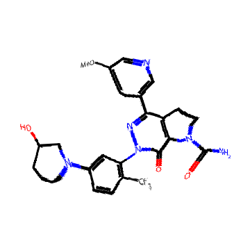 COc1cncc(-c2nn(-c3cc(N4CCC(O)C4)ccc3C(F)(F)F)c(=O)c3c2CCN3C(N)=O)c1